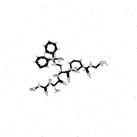 CC(C)[C@H](NC(=O)OC(C)(C)C)C(=O)N[C@@H](CO[Si](c1ccccc1)(c1ccccc1)C(C)(C)C)C(=O)N1CCC[C@@H](C(=O)OCC(Cl)(Cl)Cl)N1